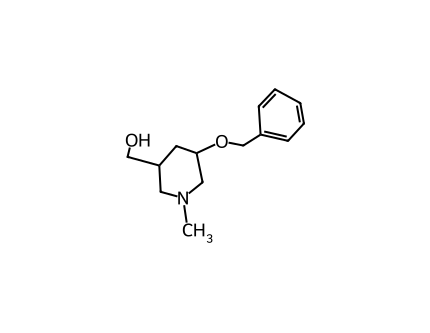 CN1CC(CO)CC(OCc2ccccc2)C1